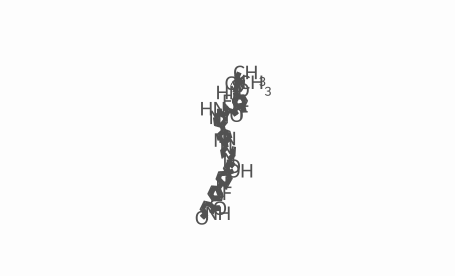 CCN(C)S(=O)(=O)Nc1ccc(F)c(C(=O)c2c[nH]c3ncc(-c4cnc(N5CCN(C(=O)CC6(O)CCN(c7ccc([C@@H]8CCC(=O)NC8=O)cc7F)CC6)CC5)nc4)cc23)c1F